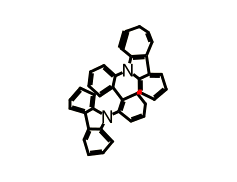 C1#Cc2c(c3ccccc3n2-c2ccccc2C2=C(n3c4ccccc4c4ccccc43)C=CCC2)C=CC1